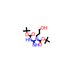 CC(C)(C)OC(=O)NC(=N)N(CCCO)C(=O)OC(C)(C)C